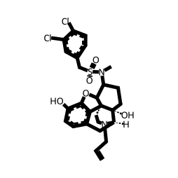 C=CCN1CC[C@]23c4c5ccc(O)c4OC2C(N(C)S(=O)(=O)Cc2ccc(Cl)c(Cl)c2)CC[C@@]3(O)[C@H]1C5